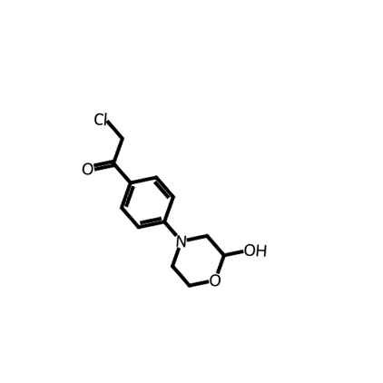 O=C(CCl)c1ccc(N2CCOC(O)C2)cc1